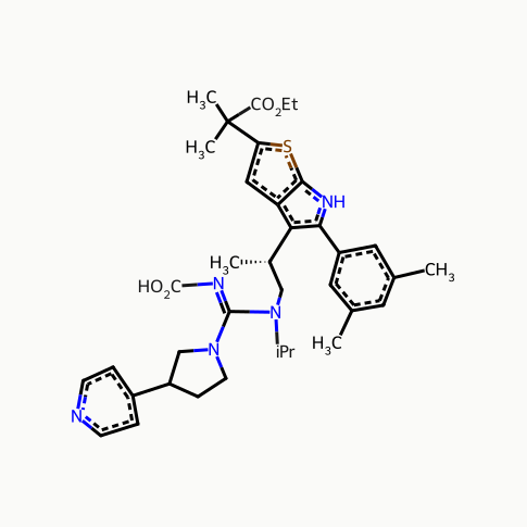 CCOC(=O)C(C)(C)c1cc2c([C@@H](C)CN(C(=NC(=O)O)N3CCC(c4ccncc4)C3)C(C)C)c(-c3cc(C)cc(C)c3)[nH]c2s1